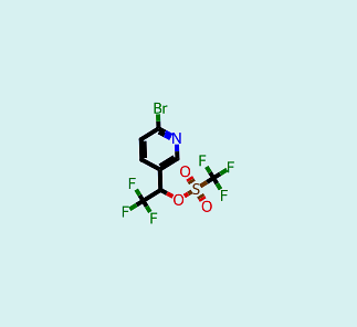 O=S(=O)(OC(c1ccc(Br)nc1)C(F)(F)F)C(F)(F)F